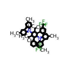 Cc1ccc2c(c1)c1cc(C)ccc1n2-c1c(-c2cccc(C(F)(F)F)c2)c(C(C)C)c(-n2c3ccc(C)cc3c3cc(C)ccc32)c(C(C)C)c1-c1cccc(C(F)(F)F)c1